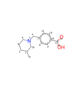 CC1CCCN(Cc2ccc(C(=O)O)cc2)C1